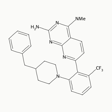 CNc1nc(N)nc2nc(-c3c(N4CCC(Cc5ccccc5)CC4)cccc3C(F)(F)F)ccc12